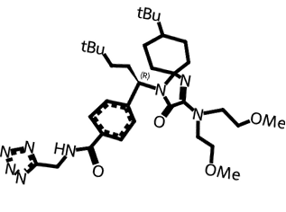 COCCN(CCOC)C1=NC2(CCC(C(C)(C)C)CC2)N([C@H](CCC(C)(C)C)c2ccc(C(=O)NCc3nn[nH]n3)cc2)C1=O